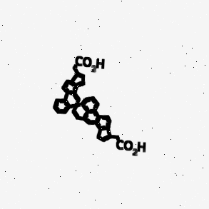 O=C(O)CC1=CCc2c1ccc1c2cc2c3c(cccc31)C1(C=C2)C=c2c(ccc3c2=CC=C3CC(=O)O)-c2ccccc21